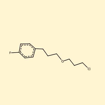 Fc1ccc(CCCOCCCCl)cc1